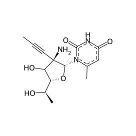 CC#C[C@@]1(N)C(O)[C@@H]([C@@H](C)O)O[C@H]1n1c(C)cc(=O)[nH]c1=O